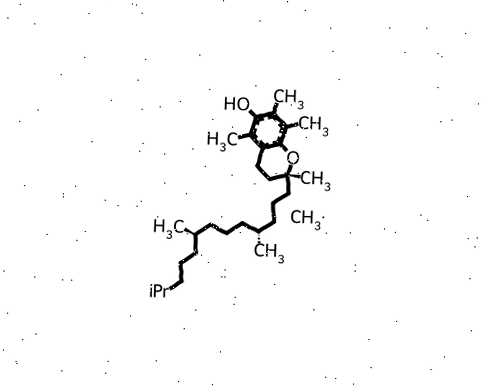 Cc1c(C)c2c(c(C)c1O)CC[C@@](C)(CCC[C@H](C)CCC[C@H](C)CCCC(C)C)O2.[CH3]